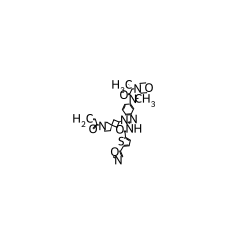 C=CC(=O)N1CC[C@]2(C1)C[C@H](n1c(NC(=O)c3ccc(-c4cnco4)s3)nc3cc(N(C)C(=O)[C@H](C)N4CCOCC4)ccc31)C2